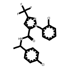 CC(NC(=O)c1cc(C(F)(F)F)nn1-c1ccccc1Cl)c1ccc(Cl)cc1